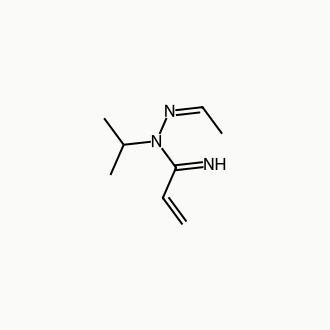 C=CC(=N)N(/N=C\C)C(C)C